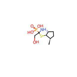 C[C@@H]1CCC[C@@H]1SC(N)(CO)P(=O)(O)O